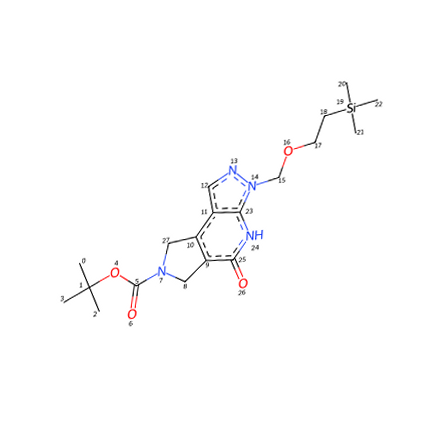 CC(C)(C)OC(=O)N1Cc2c(c3cnn(COCC[Si](C)(C)C)c3[nH]c2=O)C1